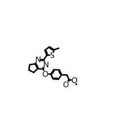 COC(=O)Cc1ccc(Oc2nc(-c3ccc(C)s3)nc3c2CCC3)cc1